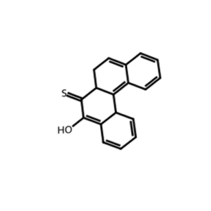 OC1=C2C=CC=CC2C2=c3ccccc3=CCC2C1=S